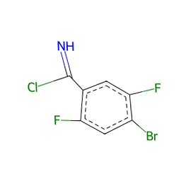 N=C(Cl)c1cc(F)c(Br)cc1F